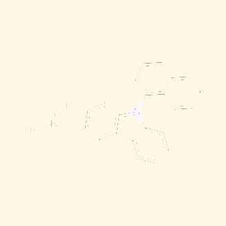 OB(O)Oc1ccc2c(c1)c1ccccc1n2-c1cccc2ccccc12